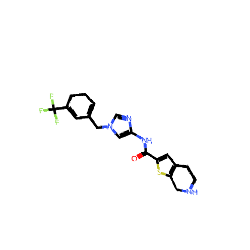 O=C(Nc1cn(CC2=CCCC(C(F)(F)F)=C2)cn1)c1cc2c(s1)CNCC2